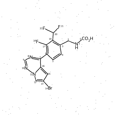 O=C(O)NCc1ccc(-c2ncnn3cc(Br)cc23)c(F)c1C(F)F